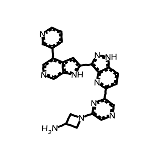 NC1CN(c2cncc(-c3ccc4[nH]nc(-c5cc6c(-c7cccnc7)cncc6[nH]5)c4n3)n2)C1